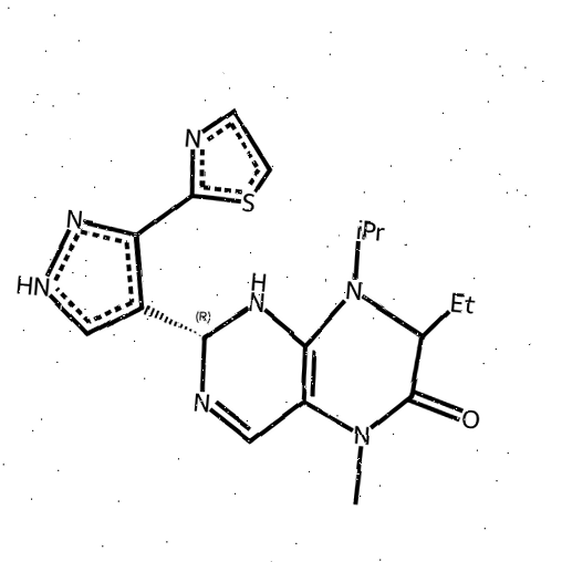 CCC1C(=O)N(C)C2=C(N[C@@H](c3c[nH]nc3-c3nccs3)N=C2)N1C(C)C